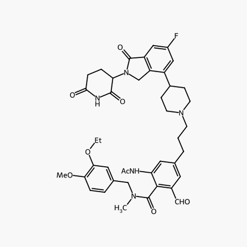 CCOc1cc(CN(C)C(=O)c2c(C=O)cc(CCCN3CCC(c4cc(F)cc5c4CN(C4CCC(=O)NC4=O)C5=O)CC3)cc2NC(C)=O)ccc1OC